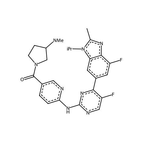 CNC1CCN(C(=O)c2ccc(Nc3ncc(F)c(-c4cc(F)c5nc(C)n(C(C)C)c5c4)n3)nc2)C1